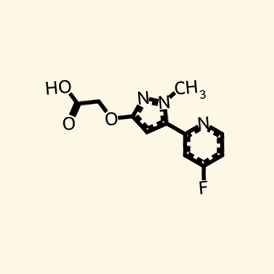 Cn1nc(OCC(=O)O)cc1-c1cc(F)ccn1